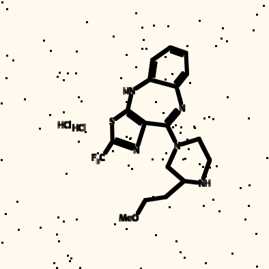 COCCC1CN(C2=Nc3ccccc3Nc3sc(C(F)(F)F)nc32)CCN1.Cl.Cl